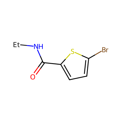 CCNC(=O)c1ccc(Br)s1